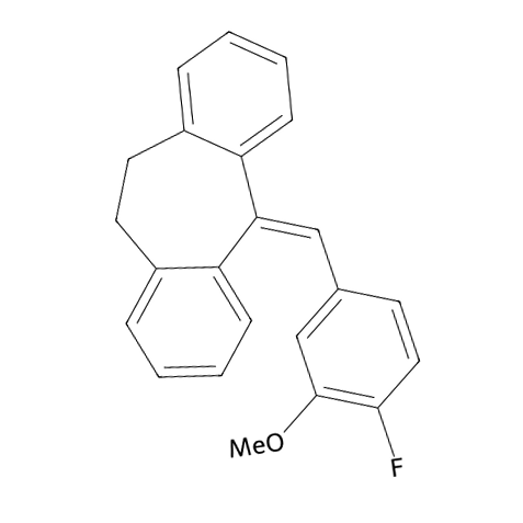 COc1cc(C=C2c3ccccc3CCc3ccccc32)ccc1F